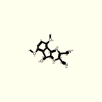 COc1ccc(OC)c2c1C(=O)c1nc(C#N)c(C#N)nc1-2